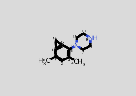 Cc1cc(C)c(N2CCNCC2)c2c1C2